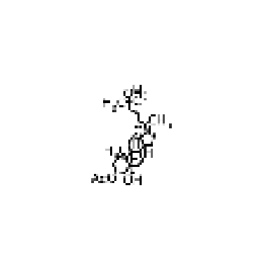 CC(=O)O[C@H]1CC[C@]2(C)[C@H]3CC[C@]4(C)[C@@H]([C@H](C)CCCC(C)(C)O)CC[C@H]4[C@@H]3CCC2(F)C1O